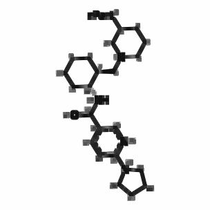 CCCCCC1CCCN(C[C@@H]2CCCC[C@H]2NC(=O)c2ccc(N3CCCC3)nc2)C1